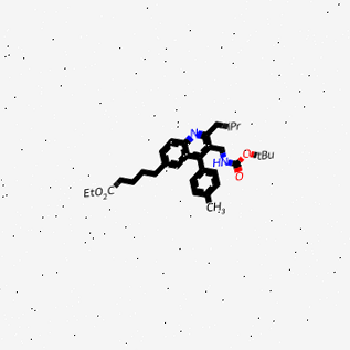 CCOC(=O)CCCCc1ccc2nc(CC(C)C)c(CNC(=O)OC(C)(C)C)c(-c3ccc(C)cc3)c2c1